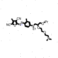 CCN(CC(COC(C)C)OCCOCCN(C)C)c1ccc(/N=N/c2sc(C#N)c(C)c2C#N)c(C)c1